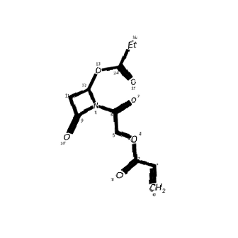 C=CC(=O)OCC(=O)N1C(=O)CC1OC(=O)CC